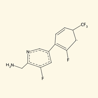 NCc1ncc(C2=C(F)[CH]C(C(F)(F)F)C=C2)cc1F